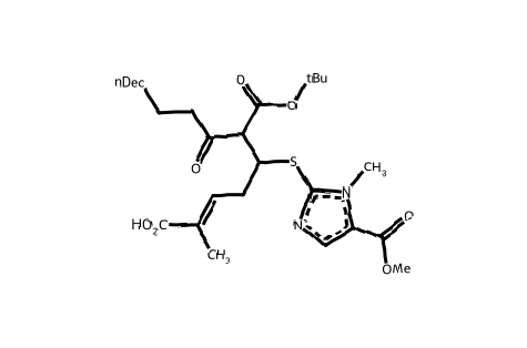 CCCCCCCCCCCCC(=O)C(C(=O)OC(C)(C)C)C(CC=C(C)C(=O)O)Sc1ncc(C(=O)OC)n1C